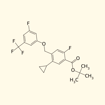 CC(C)(C)OC(=O)c1cc(C2CC2)c(COc2cc(F)cc(C(F)(F)F)c2)cc1F